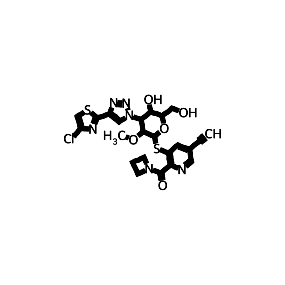 C#Cc1cnc(C(=O)N2CCC2)c(SC2OC(CO)C(O)C(n3cc(-c4nc(Cl)cs4)nn3)C2OC)c1